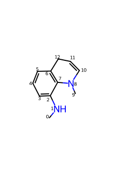 CNc1cccc2c1N(C)C=CC2